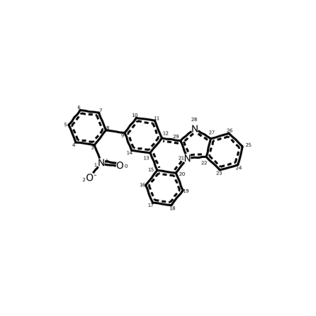 O=[N+]([O-])c1ccccc1-c1ccc2c(c1)c1ccccc1n1c3ccccc3nc21